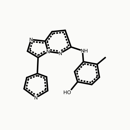 Cc1ccc(O)cc1Nc1ccc2ncc(-c3ccncc3)n2n1